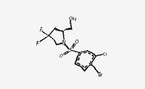 O=S(=O)(c1ccc(Br)c(Cl)c1)N1CC(F)(F)C[C@H]1CO